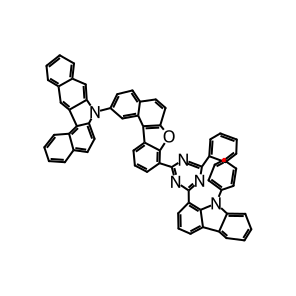 c1ccc(-c2nc(-c3cccc4c3oc3ccc5ccc(-n6c7cc8ccccc8cc7c7c8ccccc8ccc76)cc5c34)nc(-c3cccc4c5ccccc5n(-c5ccccc5)c34)n2)cc1